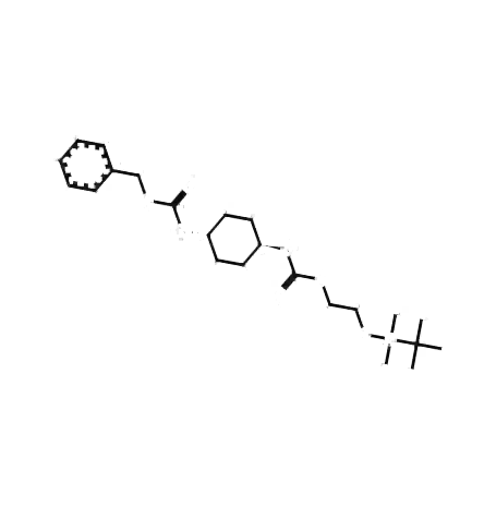 CC(C)(C)[Si](C)(C)OCCOC(=O)N[C@H]1CC[C@H](NC(=O)OCc2ccccc2)CC1